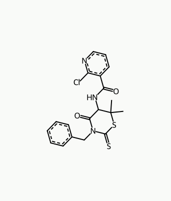 CC1(C)SC(=S)N(Cc2ccccc2)C(=O)C1NC(=O)c1cccnc1Cl